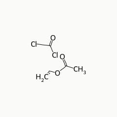 C=COC(C)=O.O=C(Cl)Cl